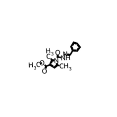 COC(=O)c1cc(C)n(C(=O)NN=Cc2ccccc2)c1C